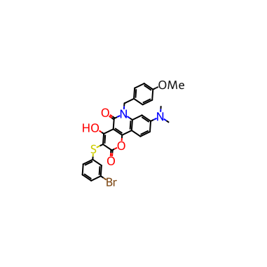 COc1ccc(Cn2c(=O)c3c(O)c(Sc4cccc(Br)c4)c(=O)oc3c3ccc(N(C)C)cc32)cc1